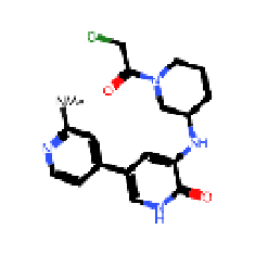 CNc1cc(-c2c[nH]c(=O)c(NC3CCCN(C(=O)CCl)C3)c2)ccn1